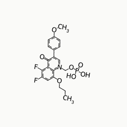 CCCOc1cc(F)c(F)c2c(=O)c(-c3ccc(OC)cc3)cn(COP(=O)(O)O)c12